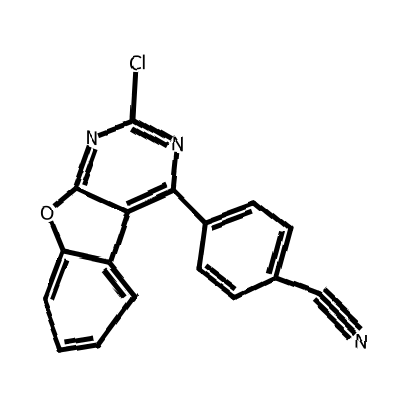 N#Cc1ccc(-c2nc(Cl)nc3oc4ccccc4c23)cc1